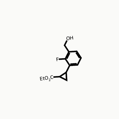 CCOC(=O)C1CC1c1cccc(CO)c1F